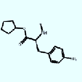 CN[C@@H](Cc1ccc(N)cc1)C(=O)OC1CCCC1